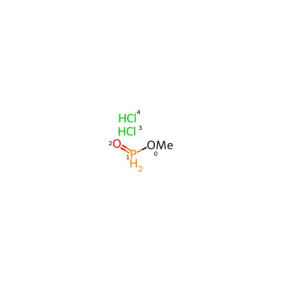 CO[PH2]=O.Cl.Cl